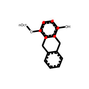 CCCCCCCCOc1ccc(O)c2c1C1c3ccccc3C2c2ccccc21